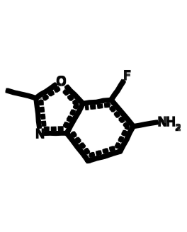 Cc1nc2ccc(N)c(F)c2o1